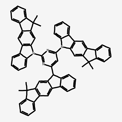 CC1(C)c2ccccc2-c2cc3c(cc21)C(c1cc(-n2c4ccccc4c4cc5c(cc42)C(C)(C)c2ccccc2-5)nc(-n2c4ccccc4c4cc5c(cc42)C(C)(C)c2ccccc2-5)n1)c1ccccc1-3